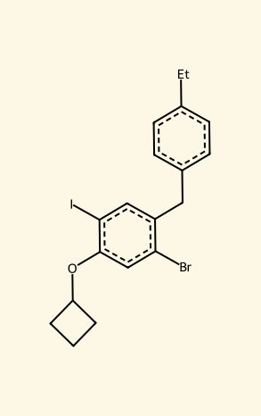 CCc1ccc(Cc2cc(I)c(OC3CCC3)cc2Br)cc1